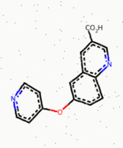 O=C(O)c1cnc2ccc(Oc3ccncc3)cc2c1